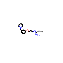 CNC(=NCCCOc1cccc(CN2CCCCC2)c1)NN